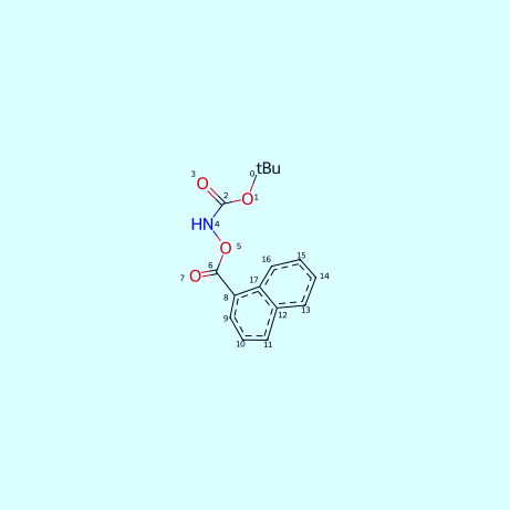 CC(C)(C)OC(=O)NOC(=O)c1cccc2ccccc12